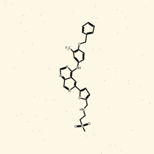 CS(=O)(=O)CCNCc1ccc(-c2cc3c(Nc4ccc(OCc5ccccc5)c(C(F)(F)F)c4)ncnc3cn2)o1